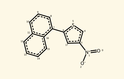 O=[N+]([O-])c1csc(-c2cccc3ccccc23)c1